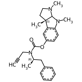 C#CCN(C(=O)Oc1ccc2c(c1)[C@]1(C)CCN(C)C1N2C)[C@H](C)Cc1ccccc1